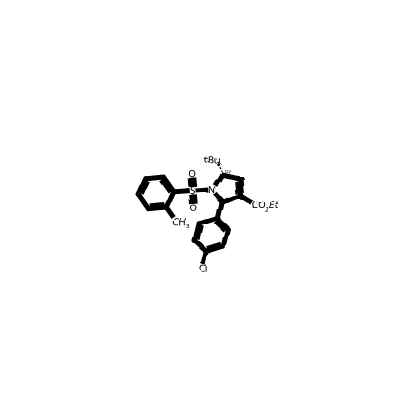 CCOC(=O)C1=C[C@@H](C(C)(C)C)N(S(=O)(=O)c2ccccc2C)C1c1ccc(Cl)cc1